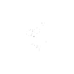 CCCCCCCCC(Cc1cccnc1)(C(=O)NO)S(=O)(=O)c1ccc(OC)cc1